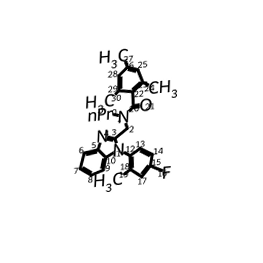 CCCN(Cc1nc2ccccc2n1-c1ccc(F)cc1C)C(=O)c1c(C)cc(C)cc1C